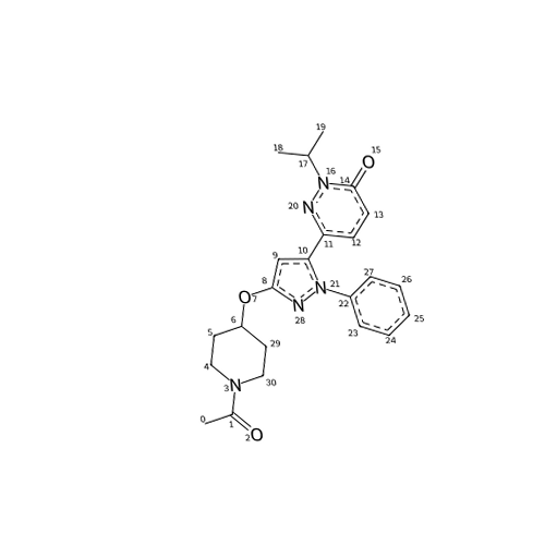 CC(=O)N1CCC(Oc2cc(-c3ccc(=O)n(C(C)C)n3)n(-c3ccccc3)n2)CC1